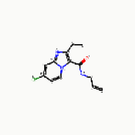 C=CCNC(=O)c1c(CC)nc2cc(Cl)ccn12